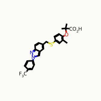 Cc1cc(SCc2ccc3nn(-c4ccc(C(F)(F)F)cc4)cc3c2)ccc1OC(C)(C)C(=O)O